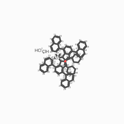 Cl.Cl.[CH3][Zr]([CH3])(=[SiH2])([CH]1C(CC2CCCCC2)=Cc2c(-c3cccc4ccccc34)ccc(-c3cccc4ccccc34)c21)[CH]1C(CC2CCCCC2)=Cc2c(-c3cccc4ccccc34)ccc(-c3cccc4ccccc34)c21